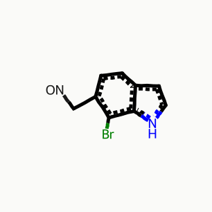 O=NCc1ccc2cc[nH]c2c1Br